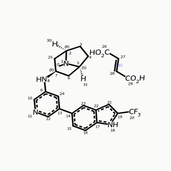 CN1[C@@H]2CC[C@H]1C[C@@H](Nc1cncc(-c3ccc4[nH]c(C(F)(F)F)cc4c3)c1)C2.O=C(O)/C=C/C(=O)O